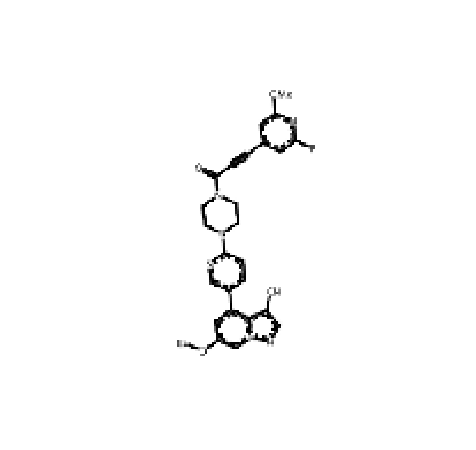 CCOc1cc(-c2ccc(N3CCN(C(=O)C#Cc4cc(F)nc(OC)c4)CC3)nc2)c2c(C#N)cnn2c1